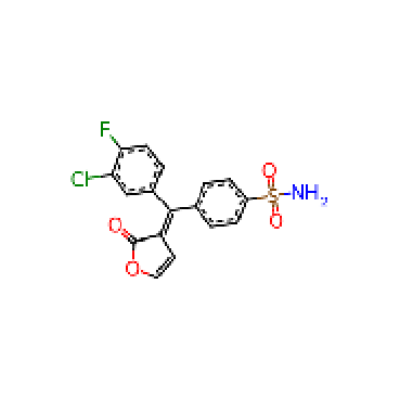 NS(=O)(=O)c1ccc(C(=C2C=COC2=O)c2ccc(F)c(Cl)c2)cc1